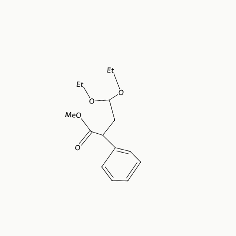 CCOC(CC(C(=O)OC)c1ccccc1)OCC